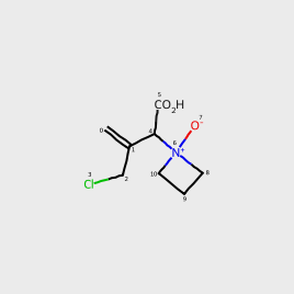 C=C(CCl)C(C(=O)O)[N+]1([O-])CCC1